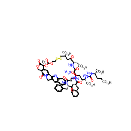 CC[C@@]1(OC(=O)OCCSSC[C@H](CC(=O)[C@H](CC(=O)O)NC(=O)[C@@H](N)CNC(=O)[C@@H](CC(=O)[C@H](Cc2ccccc2)NC(=O)CCNC(=O)CC[C@H](NC(=O)N[C@@H](CCC(=O)O)C(=O)O)C(=O)O)Cc2ccccc2)C(=O)O)C(=O)OCc2c1cc1n(c2=O)Cc2cc3ccccc3nc2-1